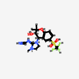 CN1CCN([C@@H]2c3cc(S(=O)(=O)C(F)(F)F)ccc3OC(C)(C)[C@H]2O)C1=NC#N